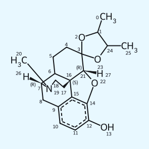 CC1OC2(CCC3[C@H]4Cc5ccc(O)c6c5[C@@]3(CCN4C)[C@H]2O6)OC1C